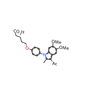 COc1cc2c(C(C)=O)c(C)n(-c3ccc(OCCCCC(=O)O)cc3)c2cc1OC